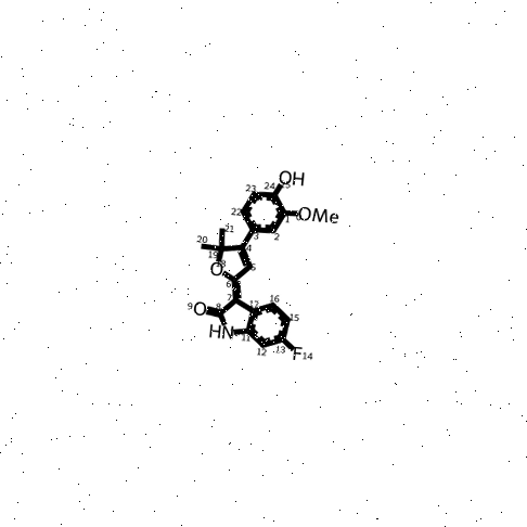 COc1cc(C2=CC(=C3C(=O)Nc4cc(F)ccc43)OC2(C)C)ccc1O